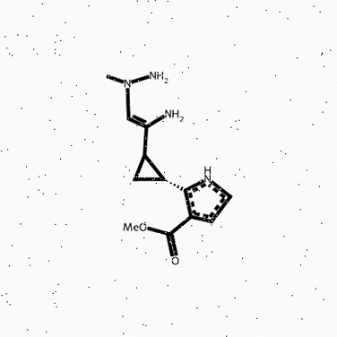 COC(=O)c1cc[nH]c1[C@@H]1CC1/C(N)=C/N(C)N